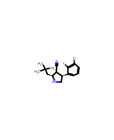 CC(C)(C)C[C@@H]1NC[C@H](c2cccc(Cl)c2F)C1C#N